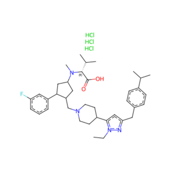 CCn1nc(Cc2ccc(C(C)C)cc2)cc1C1CCN(CC2CC(N(C)[C@@H](C(=O)O)C(C)C)CC2c2cccc(F)c2)CC1.Cl.Cl.Cl